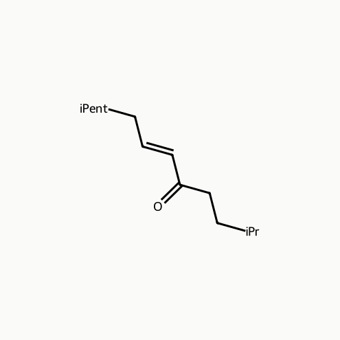 CCCC(C)CC=CC(=O)CCC(C)C